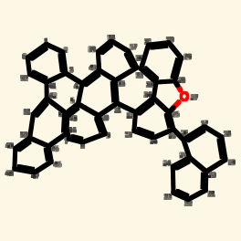 c1ccc(-c2c3ccccc3c(-c3ccc(-c4cccc5ccccc45)c4oc5ccccc5c34)c3ccccc23)c(-c2ccc3ccccc3c2)c1